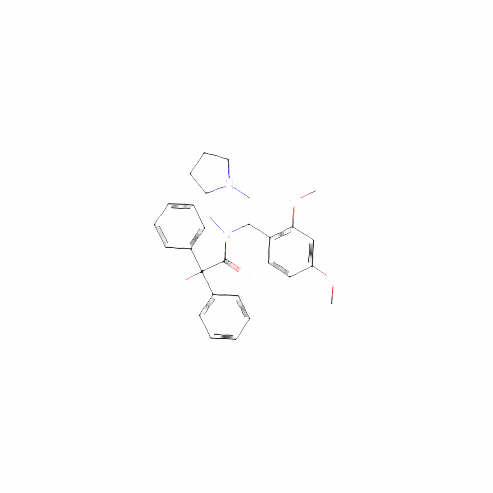 COc1ccc([C@@H](CN2CCCC2)N(C)C(=O)C(O)(c2ccccc2)c2ccccc2)c(OC)c1